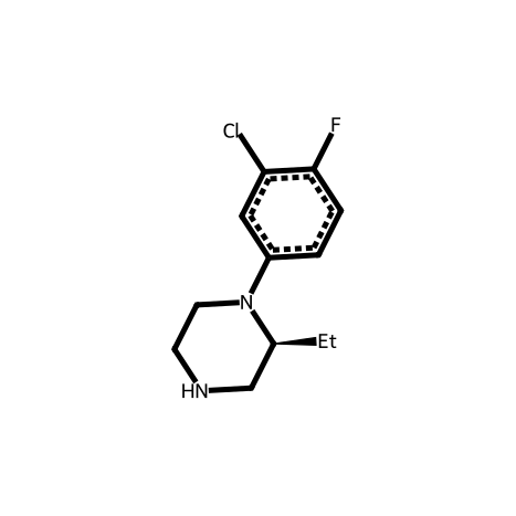 CC[C@H]1CNCCN1c1ccc(F)c(Cl)c1